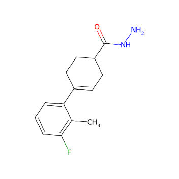 Cc1c(F)cccc1C1=CCC(C(=O)NN)CC1